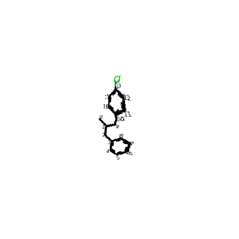 CC(Cc1cc[c]cc1)Cc1ccc(Cl)cc1